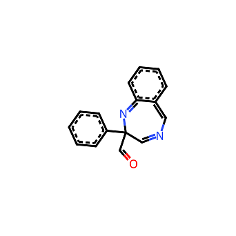 O=CC1(c2ccccc2)C=NC=c2ccccc2=N1